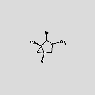 CC[C@H]1N(C)C[C@@H]2C[C@@]21N